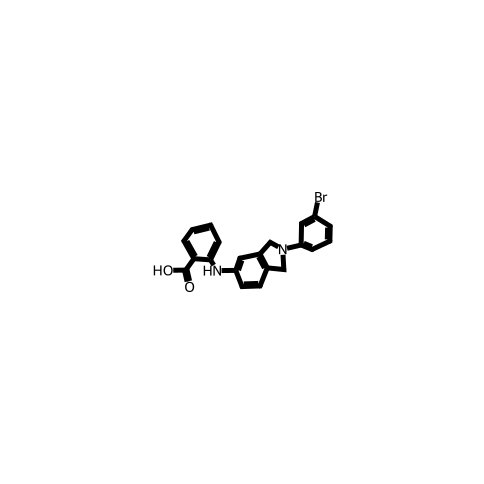 O=C(O)c1ccccc1Nc1ccc2c(c1)CN(c1cccc(Br)c1)C2